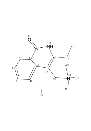 CCc1[nH]c(=O)c2ccccc2c1C[N+](C)(C)C.[I-]